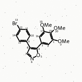 COc1cc(-c2oncc2-c2ccc(Br)cc2)cc(OC)c1OC